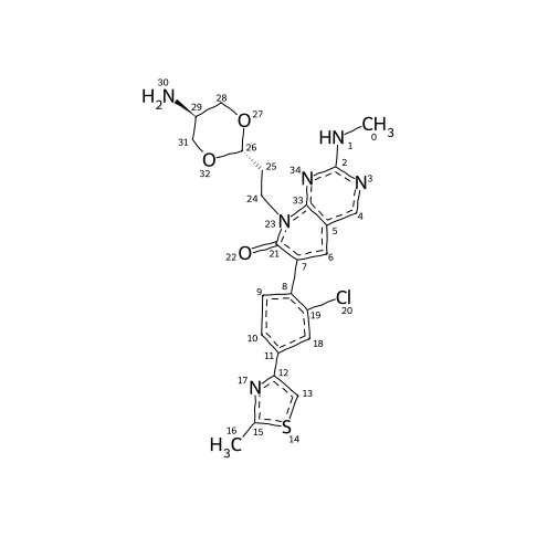 CNc1ncc2cc(-c3ccc(-c4csc(C)n4)cc3Cl)c(=O)n(CC[C@H]3OC[C@H](N)CO3)c2n1